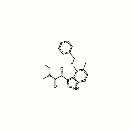 CCN(C)C(=O)C(=O)c1c[nH]c2ccc(C)c(OCc3ccccc3)c12